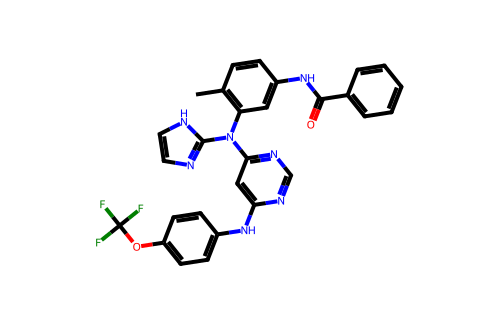 Cc1ccc(NC(=O)c2ccccc2)cc1N(c1cc(Nc2ccc(OC(F)(F)F)cc2)ncn1)c1ncc[nH]1